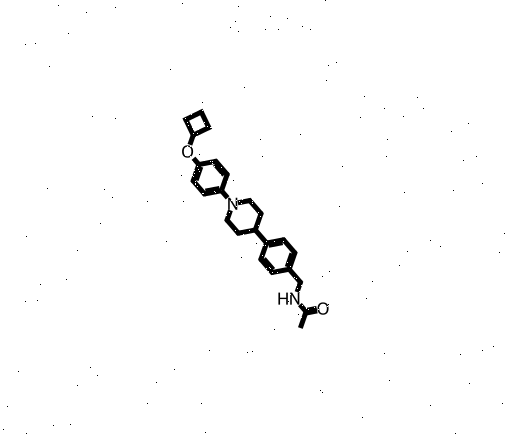 CC(=O)NCc1ccc(C2CCN(c3ccc(OC4CCC4)cc3)CC2)cc1